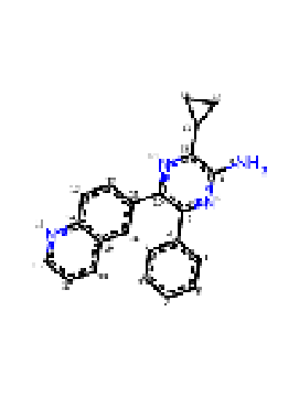 Nc1nc(-c2ccccc2)c(-c2ccc3ncccc3c2)nc1C1CC1